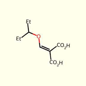 CCC(CC)OC=C(C(=O)O)C(=O)O